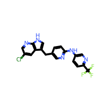 FC(F)(F)c1ccc(Nc2ccc(Cc3c[nH]c4ncc(Cl)cc34)cn2)cn1